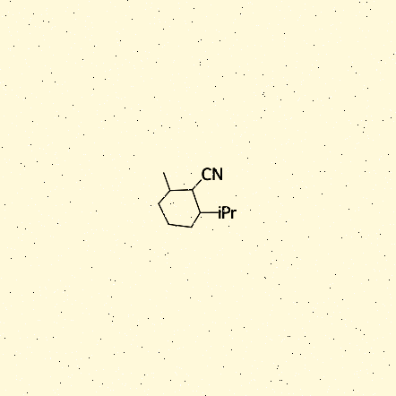 CC(C)C1CCCC(C)C1C#N